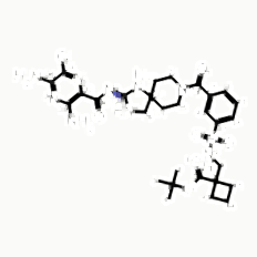 CC(C)(C)OC(=O)C1(CNS(=O)(=O)c2cccc(C(=O)N3CCC4(CC3)CN/C(=N\C(=O)c3nc(Cl)c(N)nc3N)N4)c2)CCC1